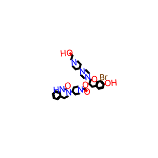 O=C(OC(Cc1ccc(O)c(Br)c1)C(=O)N1CCN(C2CCN(CCO)CC2)CC1)N1CCC(N2CCc3ccccc3NC2=O)CC1